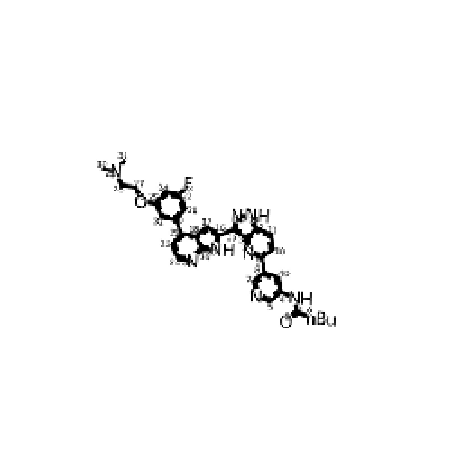 CCCCC(=O)Nc1cncc(-c2ccc3[nH]nc(-c4cc5c(-c6cc(F)cc(OCCN(C)C)c6)ccnc5[nH]4)c3n2)c1